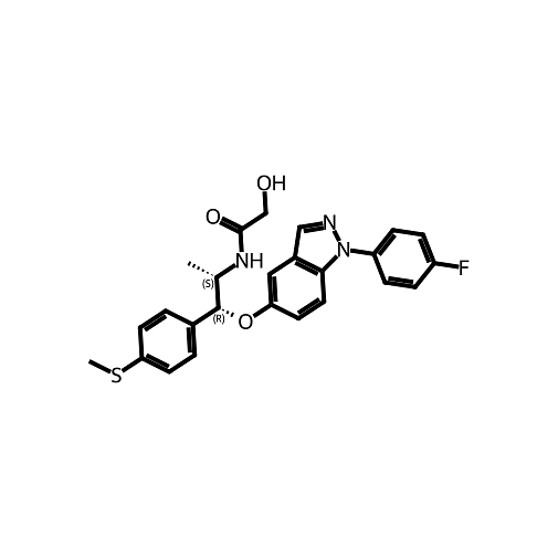 CSc1ccc([C@@H](Oc2ccc3c(cnn3-c3ccc(F)cc3)c2)[C@H](C)NC(=O)CO)cc1